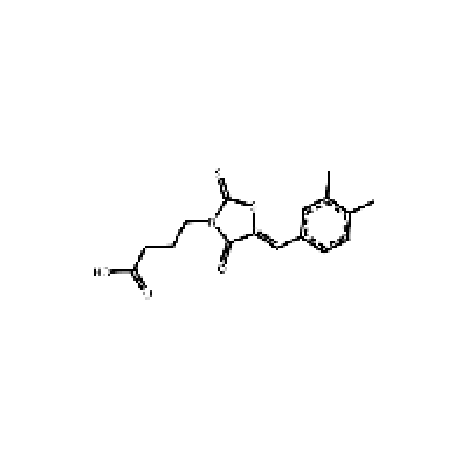 Cc1ccc(/C=C2\SC(=S)N(CCCC(=O)O)C2=O)cc1C